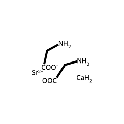 NCC(=O)[O-].NCC(=O)[O-].[CaH2].[Sr+2]